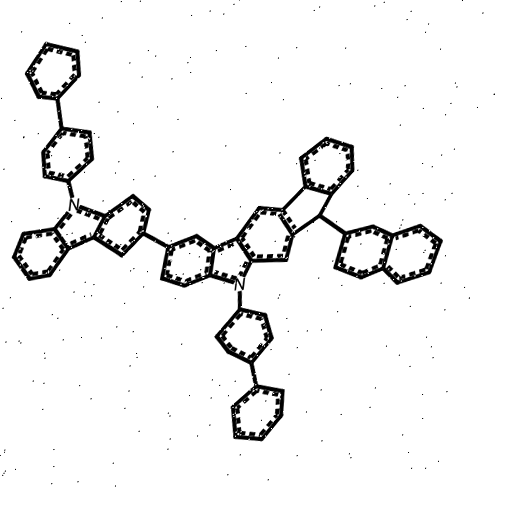 c1ccc(-c2ccc(-n3c4ccccc4c4cc(-c5ccc6c(c5)c5cc7c(cc5n6-c5ccc(-c6ccccc6)cc5)C(c5ccc6ccccc6c5)c5ccccc5-7)ccc43)cc2)cc1